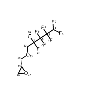 FC(F)C(F)(F)C(F)(F)C(F)(F)COC[C@H]1CO1